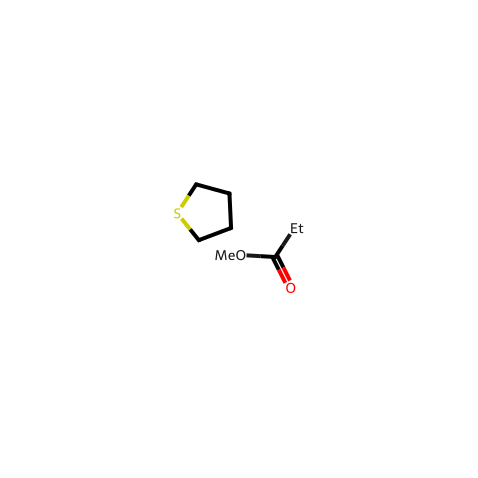 C1CCSC1.CCC(=O)OC